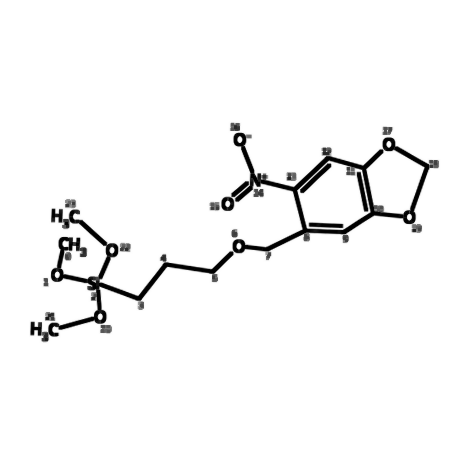 CO[Si](CCCOCc1cc2c(cc1[N+](=O)[O-])OCO2)(OC)OC